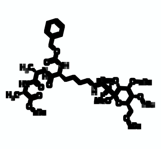 CCCCOC[C@H]1O[C@@](OC)(C(F)(F)CNCCCC[C@H](NC(=O)OCc2ccccc2)C(=O)N[C@@H](C)C(=O)N[C@@H](C)C(=O)OCCCC)[C@H](OCCCC)[C@@H](OCCCC)[C@H]1OCCCC